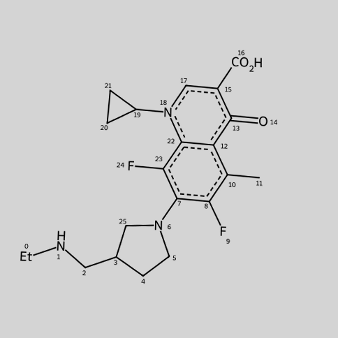 CCNCC1CCN(c2c(F)c(C)c3c(=O)c(C(=O)O)cn(C4CC4)c3c2F)C1